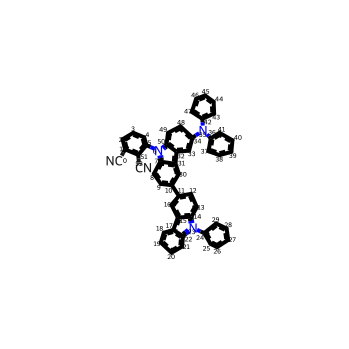 N#Cc1cccc(-n2c3ccc(-c4ccc5c(c4)c4ccccc4n5-c4ccccc4)cc3c3cc(N(c4ccccc4)c4ccccc4)ccc32)c1C#N